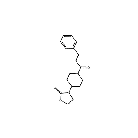 O=C(OCc1ccccc1)N1CCC(N2CCOC2=O)CC1